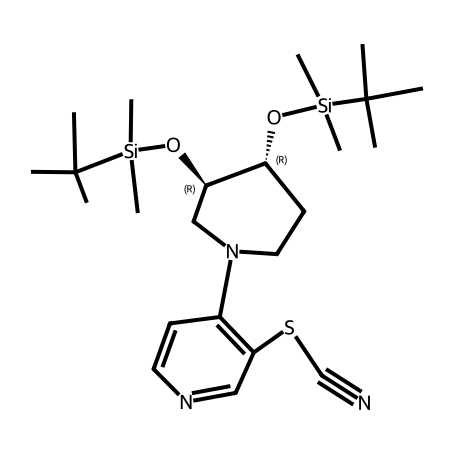 CC(C)(C)[Si](C)(C)O[C@@H]1CCN(c2ccncc2SC#N)C[C@H]1O[Si](C)(C)C(C)(C)C